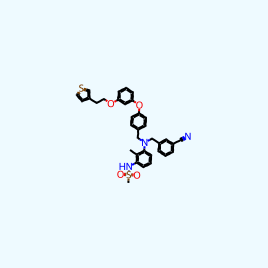 Cc1c(NS(C)(=O)=O)cccc1N(Cc1ccc(Oc2cccc(OCCc3ccsc3)c2)cc1)Cc1cccc(C#N)c1